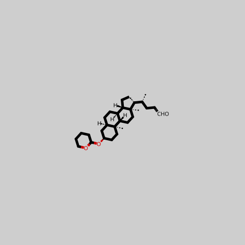 C[C@H](CCC=O)[C@H]1CC[C@H]2[C@@H]3CC[C@@H]4C[C@H](OC5CCCCO5)CC[C@]4(C)[C@H]3CC[C@]12C